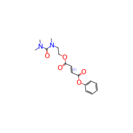 CN(C)C(=O)N(C)CCOC(=O)/C=C/C(=O)Oc1ccccc1